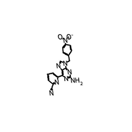 N#Cc1cccc(-c2nc(N)nc3c2ncn3Cc2ccc([N+](=O)[O-])cc2)n1